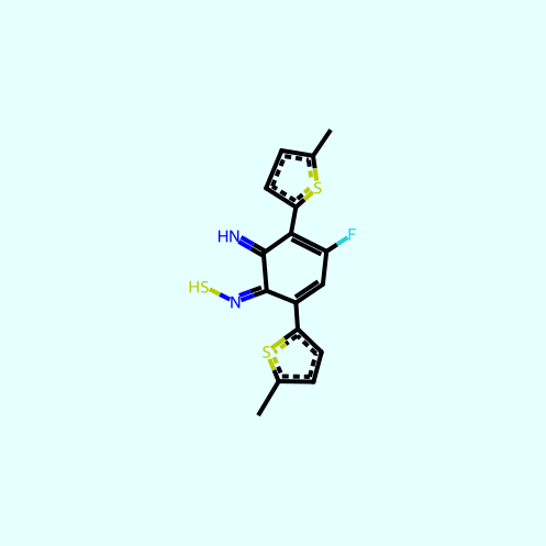 Cc1ccc(C2=CC(F)=C(c3ccc(C)s3)C(=N)/C2=N\S)s1